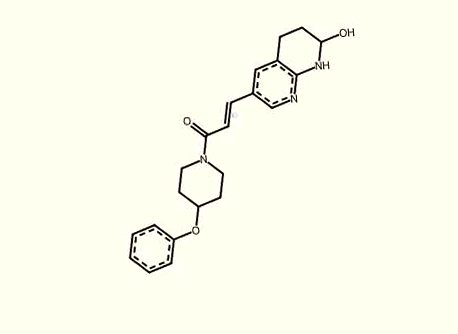 O=C(/C=C/c1cnc2c(c1)CCC(O)N2)N1CCC(Oc2ccccc2)CC1